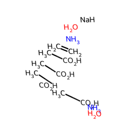 C=C.CC(=O)O.CC(=O)O.CC(=O)O.CC(=O)O.N.N.O.O.[NaH]